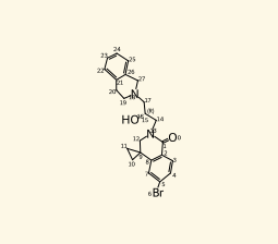 O=C1c2ccc(Br)cc2C2(CC2)CN1C[C@H](O)CN1CCc2ccccc2C1